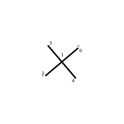 [CH]C([CH2])(C)C